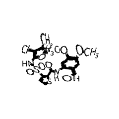 COc1cc(CO)c(NC(=O)c2sccc2S(=O)(=O)Nc2onc(C)c2Cl)cc1OC